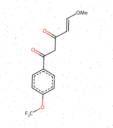 CO/C=C/C(=O)CC(=O)c1ccc(OC(F)(F)F)cc1